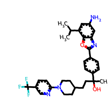 CC(C)c1cc(N)cc2nc(-c3ccc(C(C)(O)CCC4CCN(c5ccc(C(F)(F)F)cn5)CC4)cc3)oc12